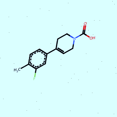 Cc1ccc(C2=CCN(C(=O)O)CC2)cc1F